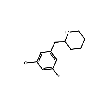 Fc1cc(Cl)cc([CH][C@@H]2CCCCN2)c1